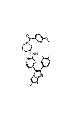 COc1ccc(C(=O)N2CCC[C@@H](Nc3nccc(-c4c(-c5ccc(F)c(F)c5)nc5sc(C)cn45)n3)C2)cc1